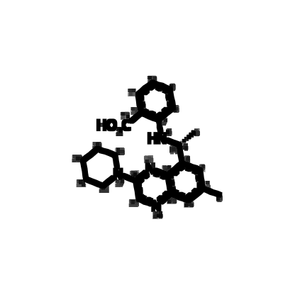 Cc1cc([C@@H](C)Nc2ccccc2C(=O)O)c2nc(N3CCCCC3)cnc2c1